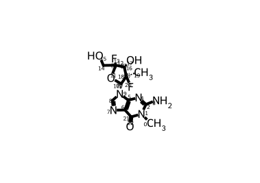 Cn1c(N)nc2c(ncn2[C@@H]2O[C@](F)(CO)[C@@H](O)[C@@]2(C)F)c1=O